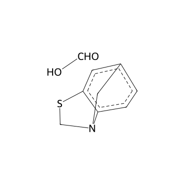 O=CO.c1cc2c3cc1CN2CS3